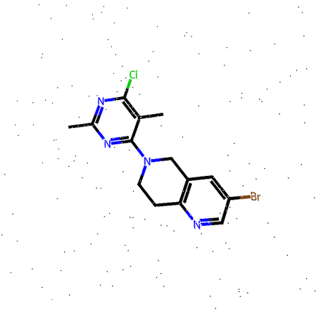 Cc1nc(Cl)c(C)c(N2CCc3ncc(Br)cc3C2)n1